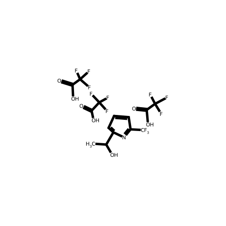 CC(O)c1cccc(C(F)(F)F)n1.O=C(O)C(F)(F)F.O=C(O)C(F)(F)F.O=C(O)C(F)(F)F